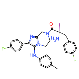 Cc1ccc(Nc2c(-c3ccc(F)cc3)nc3n2CCN(C(=O)[C@@](N)(I)Cc2ccc(F)cc2)C3)cc1